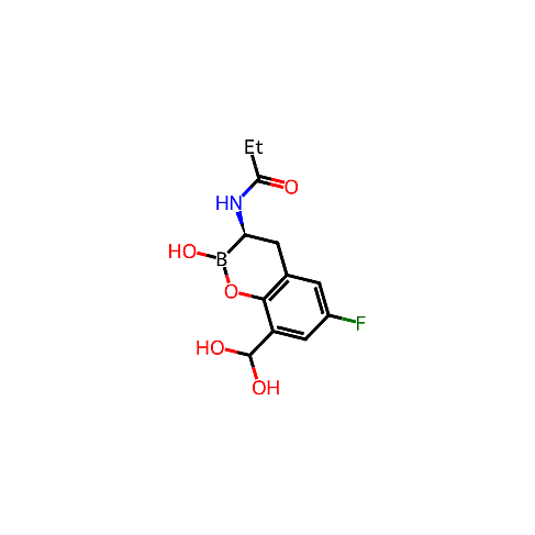 CCC(=O)N[C@H]1Cc2cc(F)cc(C(O)O)c2OB1O